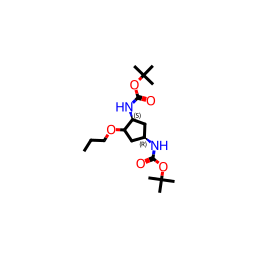 CCCOC1C[C@H](NC(=O)OC(C)(C)C)C[C@@H]1NC(=O)OC(C)(C)C